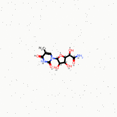 Cc1cn(C2OC(C(O)C(N)=O)C(O)C2O)c(=O)[nH]c1=O